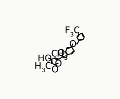 Cc1c(-c2cc3ccc(OCc4cccc(C(F)(F)F)c4)cc3o2)oc(=O)c(C)c1O